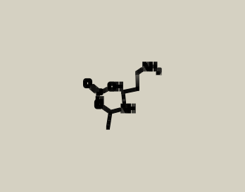 CC(NCCCN)O[PH](=O)O